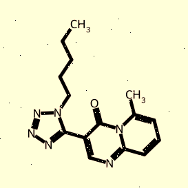 CCCCCn1nnnc1-c1cnc2cccc(C)n2c1=O